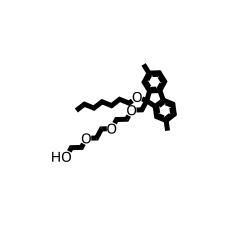 CCCCCCCOC1(COCCOCCOCCO)c2cc(C)ccc2-c2ccc(C)cc21